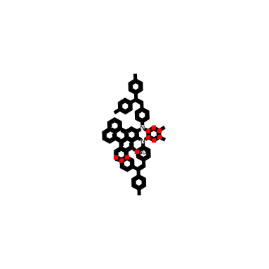 Cc1ccc(C(=Cc2ccc(N(c3ccc(C)cc3)c3cc4c5cccc6cccc(c65)c5c6ccccc6c(C(C)(C)C)c(c3N(c3ccc(C)cc3)c3ccc(C=C(c6ccc(C)cc6)c6ccc(C)cc6)cc3)c45)cc2)c2ccc(C)cc2)cc1